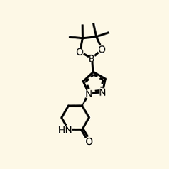 CC1(C)OB(c2cnn([C@@H]3CCNC(=O)C3)c2)OC1(C)C